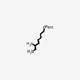 CCCCCCCCCCC(N)[CH]N